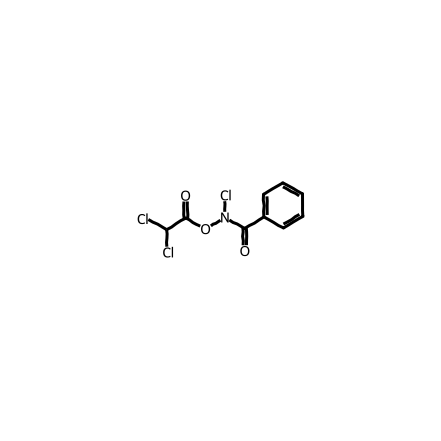 O=C(ON(Cl)C(=O)c1ccccc1)C(Cl)Cl